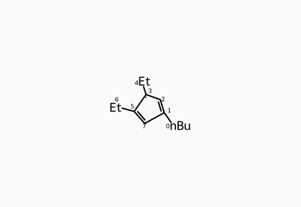 CCCCC1=C[C](CC)C(CC)=C1